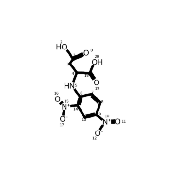 O=C(O)CC(Nc1ccc([N+](=O)[O-])cc1[N+](=O)[O-])C(=O)O